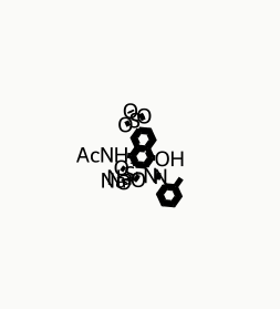 CC(=O)Nc1c(S(=O)(=O)[O-])c(N=Nc2ccccc2C)c(O)c2ccc(S(=O)(=O)[O-])cc12.[Na+].[Na+]